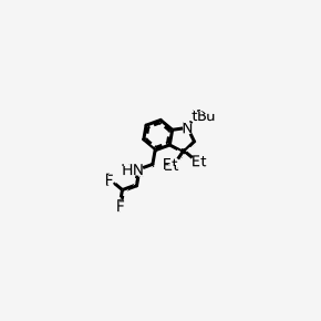 CCC1(CC)CN(C(C)(C)C)c2cccc(CNCC(F)F)c21